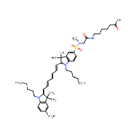 CN(CC(=O)NCCCCCC(=O)C(C)(C)C)S(=O)(=O)c1ccc2c(c1)C(C)(C)C(/C=C/C=C/C=C/C=C1/N(CCCCS(=O)(=O)O)c3ccc(S(=O)(=O)O)cc3C1(C)C)=[N+]2CCCCS(=O)(=O)O